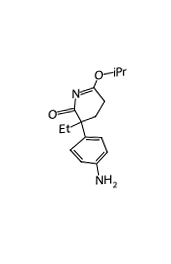 CCC1(c2ccc(N)cc2)CCC(OC(C)C)=NC1=O